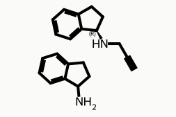 C#CCN[C@@H]1CCc2ccccc21.NC1CCc2ccccc21